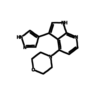 c1cc(N2CCOCC2)c2c(-c3cn[nH]c3)c[nH]c2n1